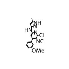 [C-]#[N+]c1c(-c2cccc(OC)c2)cc(Nc2cc(C)[nH]n2)nc1Cl